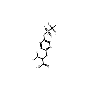 CN(C)C(Cc1ccc(OS(=O)(=O)C(F)(F)F)cc1)C(N)=O